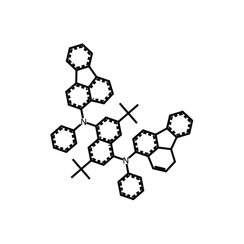 CC(C)(C)c1cc(N(c2ccccc2)c2ccc3c4c(cccc24)-c2ccccc2-3)c2cc(C(C)(C)C)cc(N(c3ccccc3)c3ccc4c5c3C=CCC5c3ccccc3-4)c2c1